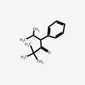 CC(C)C(C(=O)C(C)(C)C)c1ccccc1